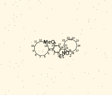 CCc1cc(C2CCCCCCCCCC2)c(OC)cc1C1([N+](=O)[O-])CC/C=C\CCCCC1